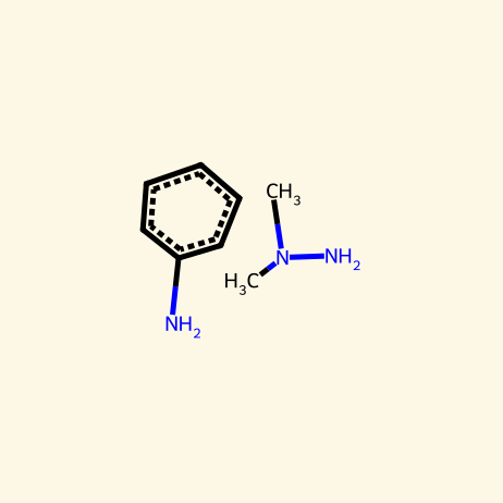 CN(C)N.Nc1ccccc1